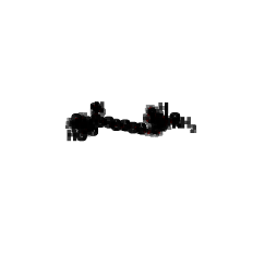 Cc1ncsc1-c1ccc(CNC(=O)[C@@H]2C[C@@H](O)CN2C(=O)[C@@H](NC(=O)C2(F)CC2)C(C)(C)C)c(OCCOCCOCCOCCOCCOCCCc2ccc(CO[C@H](C)[C@H](CCC(N)=O)NC(=O)[C@@H]3Cc4cccc5c4N3C(=O)CCC5)cc2)c1